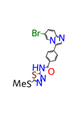 CSc1nnc(NC(=O)c2ccc(-c3cnc4ccc(Br)cn34)cc2)s1